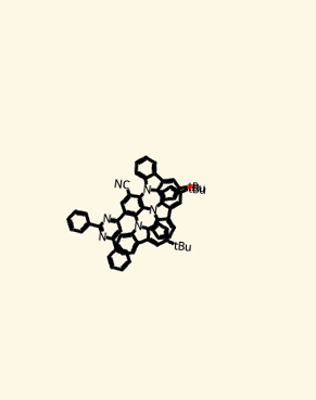 CC(C)(C)c1ccc2c(c1)c1ccccc1n2-c1c(C#N)cc(-c2cc(-c3ccccc3)nc(-c3ccccc3)n2)c(-n2c3ccccc3c3cc(C(C)(C)C)ccc32)c1-n1c2ccccc2c2cc(C(C)(C)C)ccc21